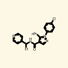 CCCc1c(C(=O)NC(CC)c2ccncc2)cnn1-c1ccc(Cl)cc1